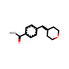 COC(=O)c1ccc(C=C2CCOCC2)cc1